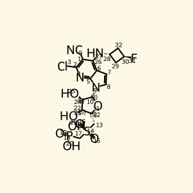 N#Cc1c(Cl)nc2c(ccn2[C@@H]2O[C@H](CS(=O)(=O)CP(=O)(O)O)[C@@H](O)[C@H]2O)c1N[C@H]1C[C@H](F)C1